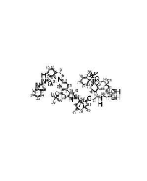 Cc1c(-c2ccc(N3CCc4cccc(C(=O)Nc5nc6ncccc6s5)c4C3)nc2C(=O)OC(C)(C)C)cnn1CC12CC3(C)CC(C)(C1)CC(OCCNCCS(O)(O)OCC(C)(C)CCO[Si](c1ccccc1)(c1ccccc1)C(C)(C)C)(C3)C2